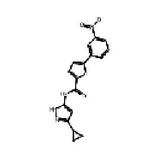 O=C(Nc1cc(C2CC2)n[nH]1)c1ccc(-c2cccc([N+](=O)[O-])c2)o1